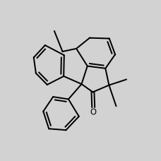 CCC1CC=CC2=C1C(c1ccccc1)(c1ccccc1)C(=O)C2(C)C